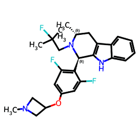 C[C@@H]1Cc2c([nH]c3ccccc23)[C@@H](c2c(F)cc(OC3CN(C)C3)cc2F)N1CC(C)(C)F